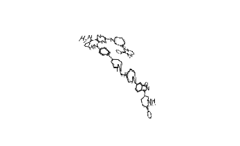 CN1CCN([C@@H]2CCCN(c3cnc(C(N)=O)c(Nc4ccc(C5CCN(C[C@H]6CCN(c7ccc8c(C9CCC(=O)NC9)noc8c7)C6)CC5)cc4)n3)C2)C1=O